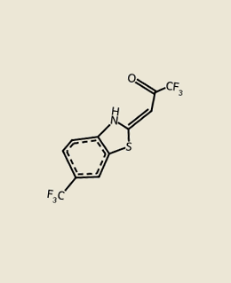 O=C(/C=C1\Nc2ccc(C(F)(F)F)cc2S1)C(F)(F)F